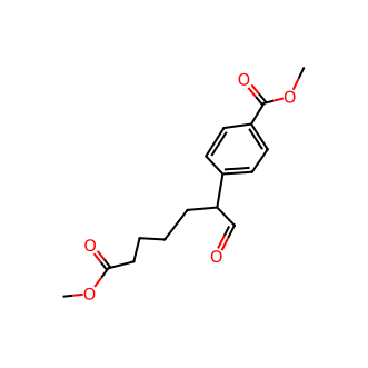 COC(=O)CCCCC(C=O)c1ccc(C(=O)OC)cc1